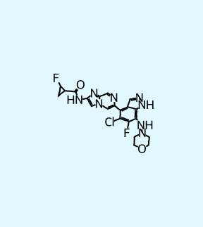 O=C(Nc1cn2cc(-c3c(Cl)c(F)c(NN4CCOCC4)c4[nH]ncc34)ncc2n1)C1CC1F